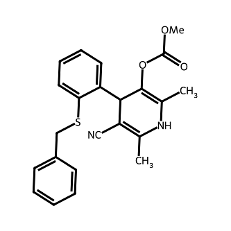 COC(=O)OC1=C(C)NC(C)=C(C#N)C1c1ccccc1SCc1ccccc1